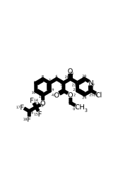 CCOC(=O)C(Cc1cccc(OC(F)(F)C(F)F)c1)C(=O)c1ccc(Cl)nc1